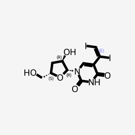 O=c1[nH]c(=O)n([C@@H]2O[C@H](CO)C[C@H]2O)cc1/C(I)=C\I